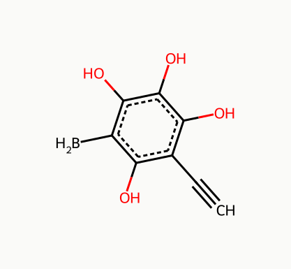 Bc1c(O)c(O)c(O)c(C#C)c1O